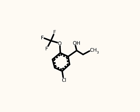 CCC(O)c1cc(Cl)ccc1OC(F)(F)F